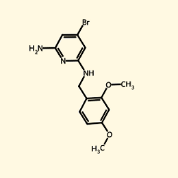 COc1ccc(CNc2cc(Br)cc(N)n2)c(OC)c1